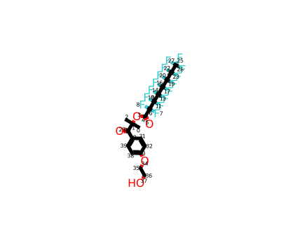 CC(C)(OC(=O)C(F)(F)C(F)(F)C(F)(F)C(F)(F)C(F)(F)C(F)(F)C(F)(F)F)C(=O)c1ccc(OCCO)cc1